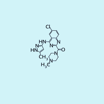 Cc1cc(Nc2nc(C(=O)N3CCN(C)CC3)nc3ccc(Cl)cc23)n[nH]1